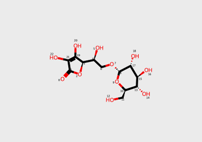 O=C1O[C@H]([C@@H](O)CO[C@H]2O[C@H](CO)[C@@H](O)[C@H](O)[C@H]2O)C(O)=C1O